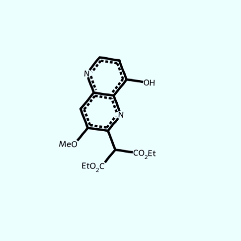 CCOC(=O)C(C(=O)OCC)c1nc2c(O)ccnc2cc1OC